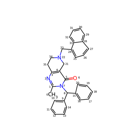 Cc1nc2c(c(=O)n1C(c1ccccc1)c1ccccc1)CN(Cc1cccc3ccccc13)CC2